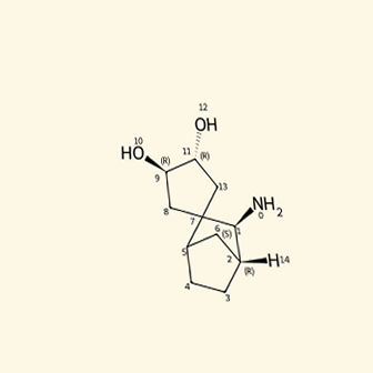 N[C@H]1[C@@H]2CCC(C2)C12C[C@@H](O)[C@H](O)C2